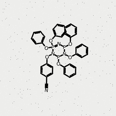 N#Cc1ccc(ON2P(Oc3ccccc3)N(Oc3ccccc3)P(Oc3ccccc3)N=P2(Oc2ccccc2)Oc2ccccc2)cc1